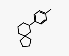 Cc1ccc(C2CCCC3(CCCC3)C2)cc1